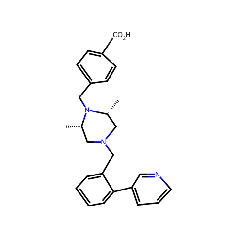 C[C@@H]1CN(Cc2ccccc2-c2cccnc2)C[C@H](C)N1Cc1ccc(C(=O)O)cc1